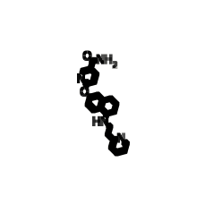 NC(=O)c1ccc(Oc2ccc3c(c2)CCCC3NCCc2ccccn2)nc1